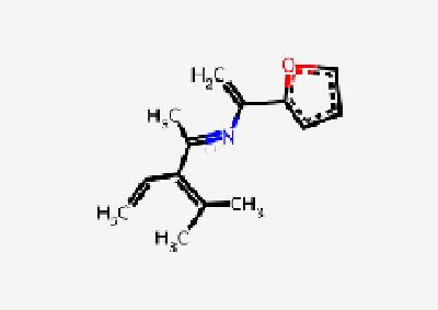 C=CC(=C(C)C)/C(C)=N/C(=C)c1ccco1